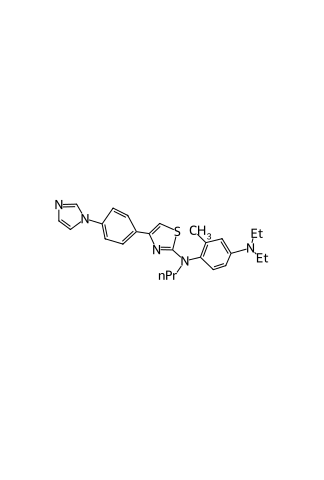 CCCN(c1nc(-c2ccc(-n3ccnc3)cc2)cs1)c1ccc(N(CC)CC)cc1C